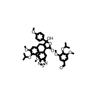 COc1cc(C=O)cc(OC)c1OC(C)C.COc1ccc(C2(O)OC(=O)C(c3ccc4nsnc4c3)=C2Cc2cc(OC)c(OC(C)C)c(OC)c2)cc1